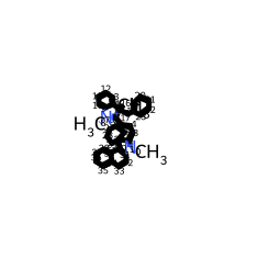 CN1/C(=C/C=C/C2=[N+](C)c3ccccc3C2(C)Cc2ccccc2)C2(CCCCC2)c2c1ccc1ccccc21